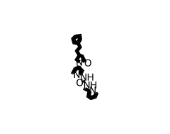 O=C(NCc1ccccn1)Nc1cc(N2CC(CCc3ccccc3)CC2=O)ccn1